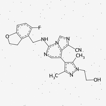 Cc1nn(CCO)c(C)c1-c1cnc(NCc2c(F)ccc3c2CCO3)n2cnc(C#N)c12